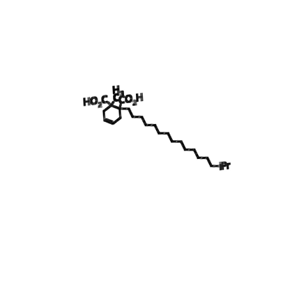 CC(C)CCCCCCCCCCCCCCC1(C(=O)O)CC=CCC1(C)C(=O)O